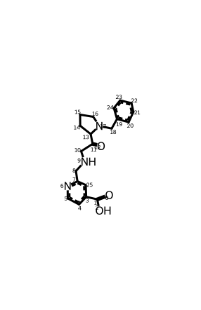 O=C(O)c1ccnc(CNCC(=O)C2CCCN2Cc2ccccc2)c1